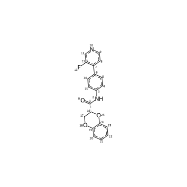 O=C(Nc1ccc(-c2ccncc2F)cc1)[C@H]1COc2ccccc2O1